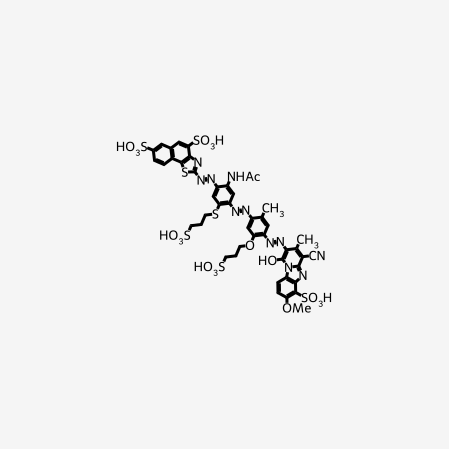 COc1ccc2c(nc3c(C#N)c(C)c(N=Nc4cc(C)c(N=Nc5cc(NC(C)=O)c(N=Nc6nc7c(S(=O)(=O)O)cc8cc(S(=O)(=O)O)ccc8c7s6)cc5SCCCS(=O)(=O)O)cc4OCCCS(=O)(=O)O)c(O)n32)c1S(=O)(=O)O